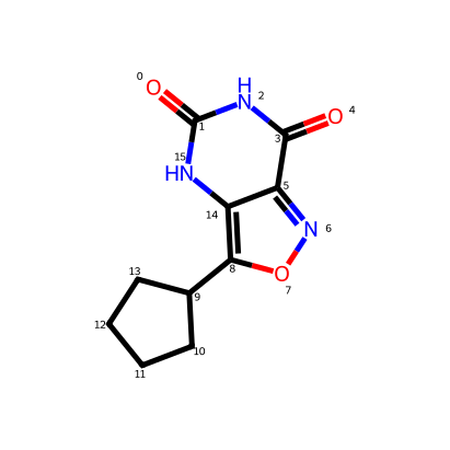 O=c1[nH]c(=O)c2noc(C3CCCC3)c2[nH]1